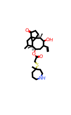 C=CC1C[C@@H](OC(=O)CSC2(C)CCCNCC2)[C@]2(C)C(C)CC34C(=O)CCC3(C42)[C@@H](C)C1O